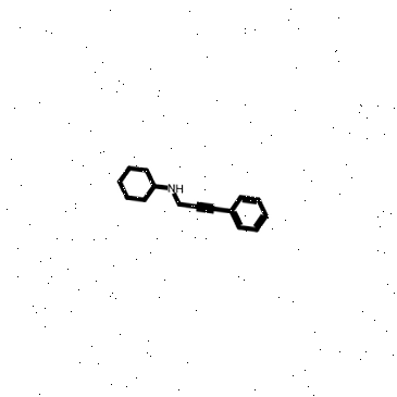 C(#Cc1ccccc1)CN[C]1CCCCC1